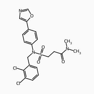 CN(C)C(=O)CCS(=O)(=O)N(Cc1cccc(Cl)c1Cl)c1ccc(-c2cnco2)cc1